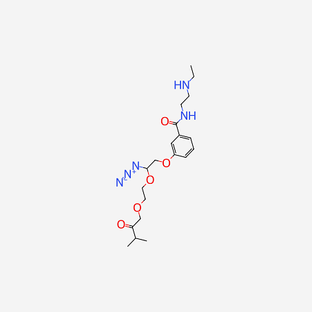 CCNCCNC(=O)c1cccc(OCC(N=[N+]=[N-])OCCOCC(=O)C(C)C)c1